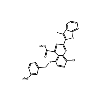 CCc1ccc(OCc2cccc(SC)c2)c2c(C(=O)OC)cc(-c3oc4ccccc4c3C)nc12